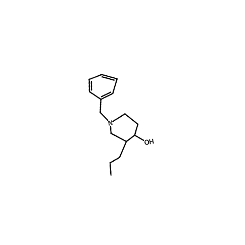 CCCC1CN(Cc2ccccc2)CCC1O